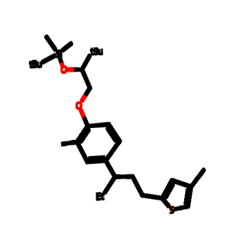 CCC(CCc1cc(C)cs1)c1ccc(OCC(O[Si](C)(C)C(C)(C)C)C(C)(C)C)c(C)c1